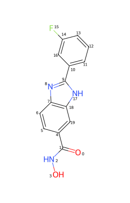 O=C(NO)c1ccc2nc(-c3cccc(F)c3)[nH]c2c1